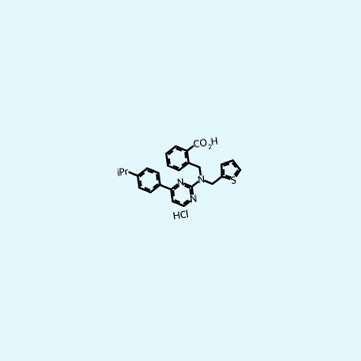 CC(C)c1ccc(-c2ccnc(N(Cc3cccs3)Cc3ccccc3C(=O)O)n2)cc1.Cl